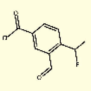 O=Cc1cc(C(=O)Cl)ccc1C(F)F